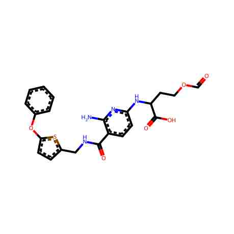 Nc1nc(NC(CCOC=O)C(=O)O)ccc1C(=O)NCc1ccc(Oc2ccccc2)s1